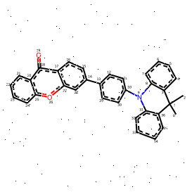 CC1(C)c2ccccc2N(c2ccc(-c3ccc4c(=O)c5ccccc5oc4c3)cc2)c2ccccc21